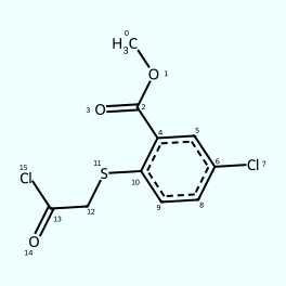 COC(=O)c1cc(Cl)ccc1SCC(=O)Cl